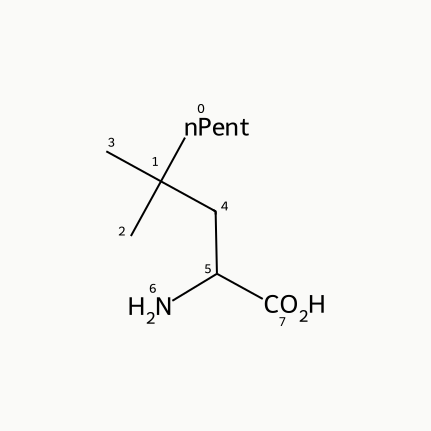 CCCCCC(C)(C)CC(N)C(=O)O